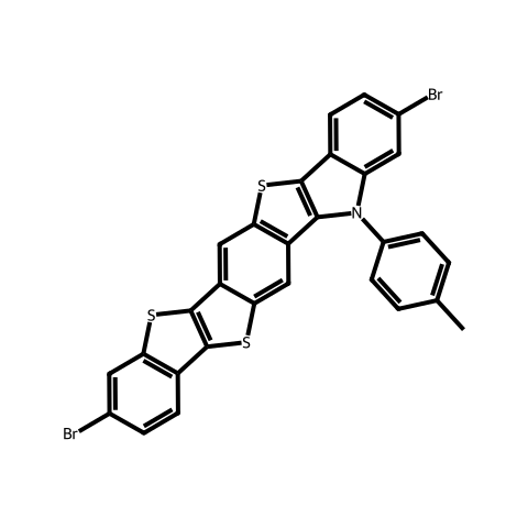 Cc1ccc(-n2c3cc(Br)ccc3c3sc4cc5c(cc4c32)sc2c3ccc(Br)cc3sc52)cc1